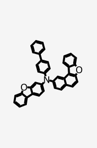 c1ccc(-c2ccc(N(c3ccc4c(c3)oc3ccccc34)c3ccc4ccc5oc6ccccc6c5c4c3)cc2)cc1